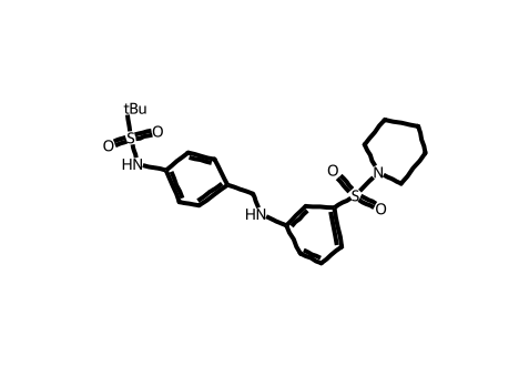 CC(C)(C)S(=O)(=O)Nc1ccc(CNc2cccc(S(=O)(=O)N3CCCCC3)c2)cc1